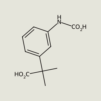 CC(C)(C(=O)O)c1cccc(NC(=O)O)c1